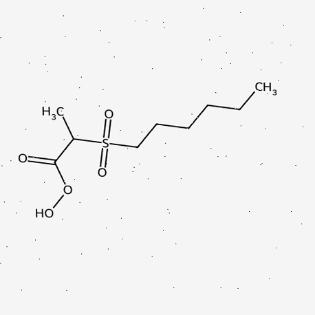 CCCCCCS(=O)(=O)C(C)C(=O)OO